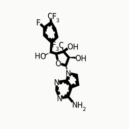 Nc1ncnc2c1ccn2[C@@H]1OC([C@H](O)c2ccc(C(F)(F)F)c(F)c2)[C@](O)(C(F)(F)F)[C@H]1O